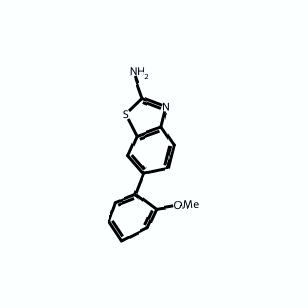 COc1ccccc1-c1ccc2nc(N)sc2c1